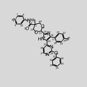 CC1(C(=O)Nc2ccncc2)COC(c2nc(-c3ccc(F)cc3)c(-c3ccnc(Oc4ccccc4)n3)[nH]2)OC1